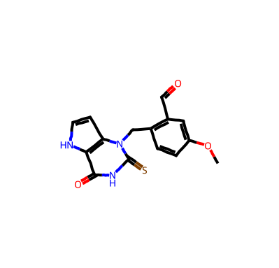 COc1ccc(Cn2c(=S)[nH]c(=O)c3[nH]ccc32)c(C=O)c1